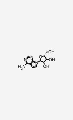 Nc1ncnc2c1ccn2C1O[C@H](CO)C(O)C1O